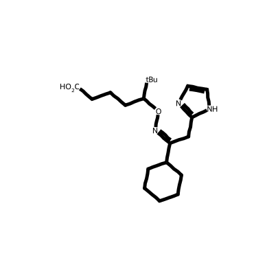 CC(C)(C)C(CCCC(=O)O)ON=C(Cc1ncc[nH]1)C1CCCCC1